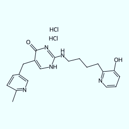 Cc1ccc(Cc2c[nH]c(NCCCCc3ncccc3O)nc2=O)cn1.Cl.Cl